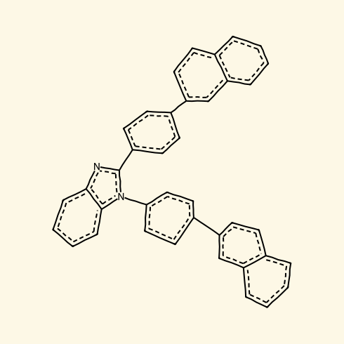 c1ccc2cc(-c3ccc(-c4nc5ccccc5n4-c4ccc(-c5ccc6ccccc6c5)cc4)cc3)ccc2c1